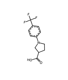 O=C(O)C1CCN(c2ccc(C(F)(F)F)cc2)C1